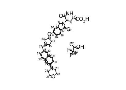 NC(=O)C(CCC(=O)O)N1Cc2cc(O[C@H]3CCN(Cc4ccc5nc(N6CCOCC6)ccc5c4)C3)ccc2C1=O.O=C(O)C(F)(F)F